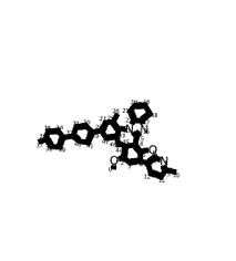 COc1cc2c(oc3nc(C)ccc32)c(-c2nc3ccccc3n2-c2c(C)cc(-c3ccc(-c4ccc(C)cc4)cc3)cc2C)c1C